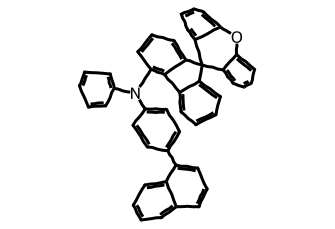 c1ccc(N(c2ccc(-c3cccc4ccccc34)cc2)c2cccc3c2-c2ccccc2C32c3ccccc3Oc3ccccc32)cc1